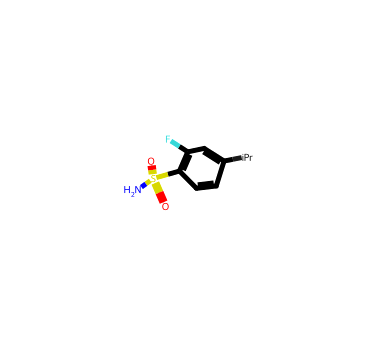 CC(C)c1ccc(S(N)(=O)=O)c(F)c1